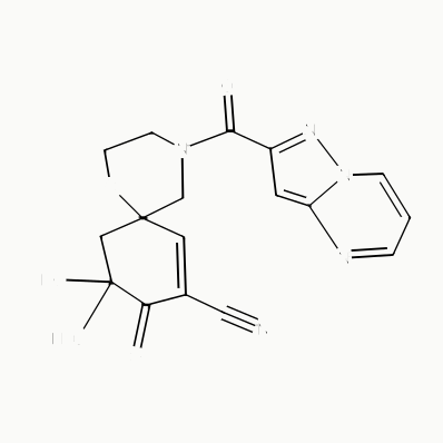 CC1(C)CC2(C=C(C#N)C1=O)CN(C(=O)c1cc3ncccn3n1)CCO2